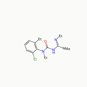 CCN=C(NC)NC(=O)N(CC)c1c(Cl)cccc1CC